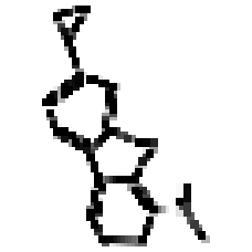 CNc1cccc2c1oc1cc(C3CC3)ccc12